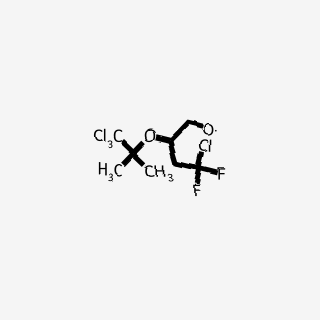 CC(C)(OC(C[O])CC(F)(F)Cl)C(Cl)(Cl)Cl